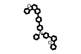 c1ccc(N(c2ccc(-c3ccc(-c4ccc5ccc6oc7ccccc7c6c5c4)cc3)cc2)c2ccc(-c3cccc4c3oc3ccccc34)cc2)cc1